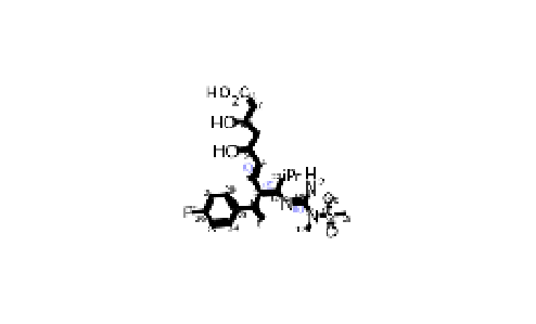 C=C(C(/C=C/C(O)C[C@@H](O)CC(=O)O)=C(\N=C(/N)N(C)S(C)(=O)=O)C(C)C)c1ccc(F)cc1